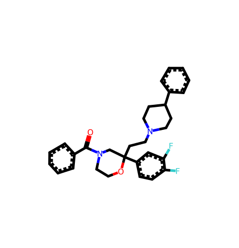 O=C(c1ccccc1)N1CCOC(CCN2CCC(c3ccccc3)CC2)(c2ccc(F)c(F)c2)C1